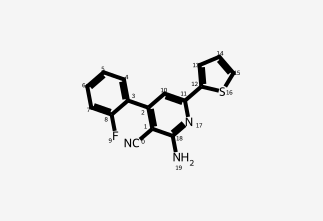 N#Cc1c(-c2ccccc2F)cc(-c2cccs2)nc1N